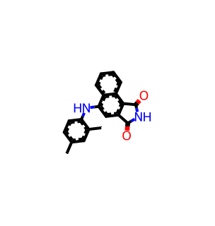 Cc1ccc(Nc2cc3c(c4ccccc24)C(=O)NC3=O)c(C)c1